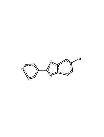 Oc1ccc2nc(-c3ccncc3)oc2c1